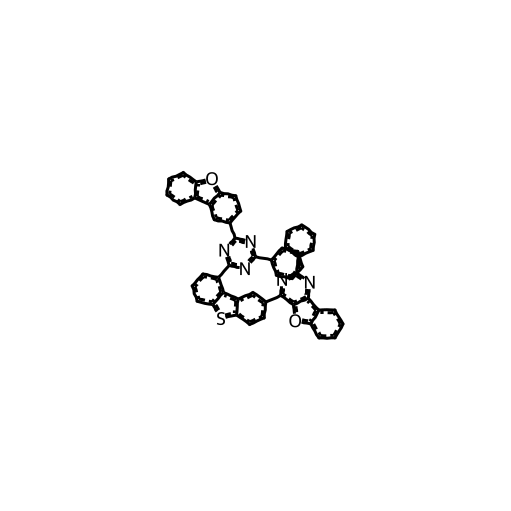 c1ccc(-c2nc(-c3ccc4oc5ccccc5c4c3)nc(-c3cccc4sc5ccc(-c6nc(-c7ccccc7)nc7c6oc6ccccc67)cc5c34)n2)cc1